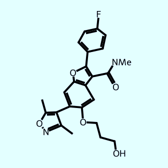 CNC(=O)c1c(-c2ccc(F)cc2)oc2cc(-c3c(C)noc3C)c(OCCCO)cc12